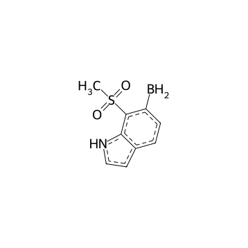 Bc1ccc2cc[nH]c2c1S(C)(=O)=O